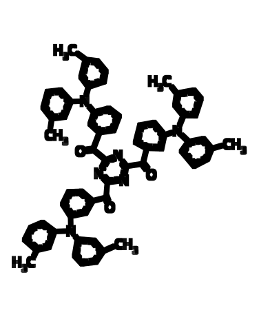 Cc1cccc(N(c2cccc(C)c2)c2cccc(C(=O)c3nc(C(=O)c4cccc(N(c5cccc(C)c5)c5cccc(C)c5)c4)nc(C(=O)c4cccc(N(c5cccc(C)c5)c5cccc(C)c5)c4)n3)c2)c1